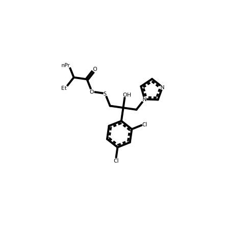 CCCC(CC)C(=O)OSCC(O)(Cn1ccnc1)c1ccc(Cl)cc1Cl